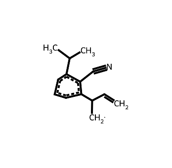 [CH2]C(C=C)c1cccc(C(C)C)c1C#N